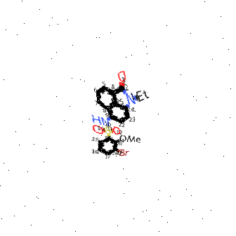 CCN1C(=O)c2cccc3c(NS(=O)(=O)c4cccc(Br)c4OC)ccc1c23